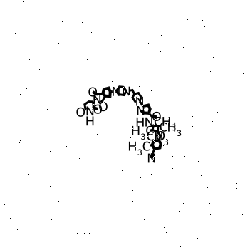 Cc1cc(OC2C(C)(C)C(NC(=O)c3ccc(N4CCC(CN5CCN(c6ccc7c(c6)C(=O)N(C6CCC(=O)NC6=O)C7=O)CC5)CC4)nc3)C2(C)C)ccc1C#N